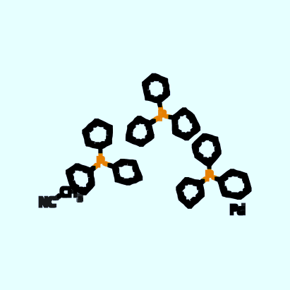 CC#N.[Pd].c1ccc(P(c2ccccc2)c2ccccc2)cc1.c1ccc(P(c2ccccc2)c2ccccc2)cc1.c1ccc(P(c2ccccc2)c2ccccc2)cc1